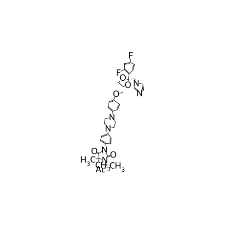 CC(=O)C(C)N1C(=O)N(c2ccc(N3CCN(c4ccc(OC[C@@H]5CO[C@@](Cn6ccnc6)(c6ccc(F)cc6F)O5)cc4)CC3)cc2)C(=O)C1(C)C